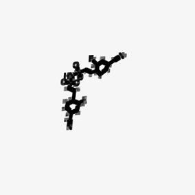 N#Cc1ccc(C=CS(=O)(=O)NS(=O)(=O)C=Cc2ccc(C#N)cc2F)c(F)c1